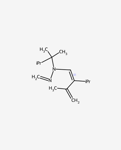 C=NN(/C=C(\C(=C)C)C(C)C)C(C)(C)C(C)C